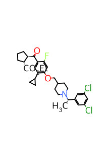 CCOC(=O)[C@@H]1CCC[C@H]1C(=O)c1cc(C2CC2)c(OCC2CCN([C@@H](C)c3cc(Cl)cc(Cl)c3)CC2)cc1F